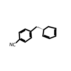 N#Cc1ccc(C[C@H]2C=CC=CC2)cc1